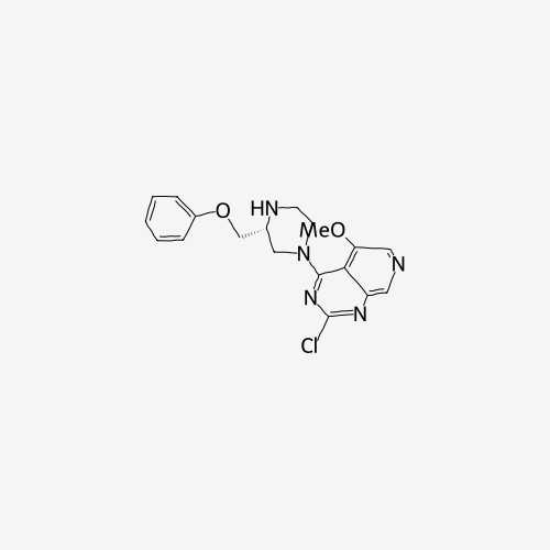 COc1cncc2nc(Cl)nc(N3CCN[C@@H](COc4ccccc4)C3)c12